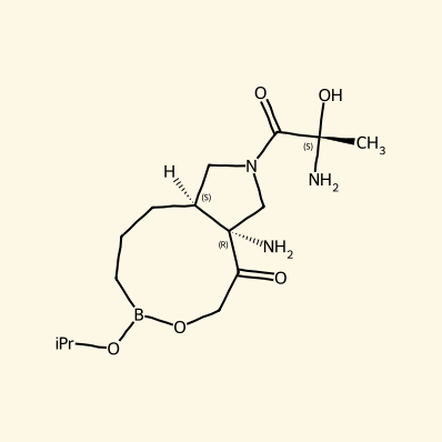 CC(C)OB1CCC[C@H]2CN(C(=O)[C@@](C)(N)O)C[C@@]2(N)C(=O)CO1